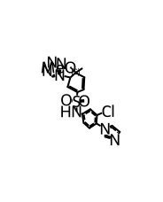 CO[C@@]1(C)C=CC(S(=O)(=O)Nc2ccc(-n3ccnc3)c(Cl)c2)=CC1n1cnnn1